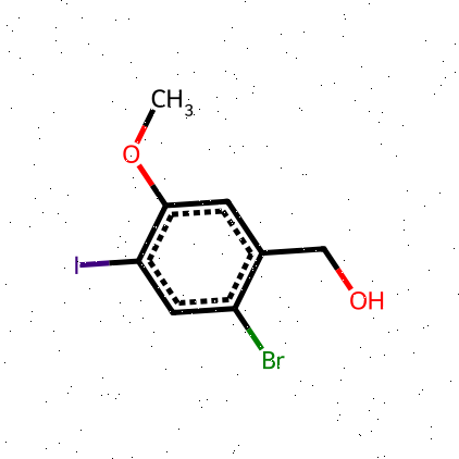 COc1cc(CO)c(Br)cc1I